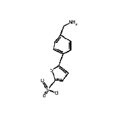 NCc1ccc(-c2ccc(S(=O)(=O)Cl)s2)cc1